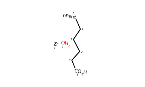 CCCCCCCCCC(=O)O.O.[Zr]